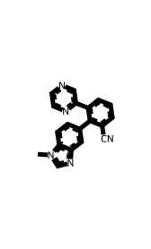 Cn1cnc2cc(-c3c(C#N)cccc3-c3cnccn3)ccc21